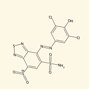 NS(=O)(=O)c1cc([SH](=O)=O)c2nsnc2c1/N=N/c1cc(Cl)c(O)c(Cl)c1